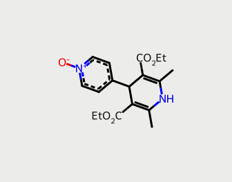 CCOC(=O)C1=C(C)NC(C)=C(C(=O)OCC)C1c1cc[n+]([O-])cc1